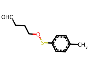 Cc1ccc(SOCCCC=O)cc1